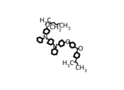 CCCCC(C)(C)Oc1ccc(N(c2ccccc2)c2ccc(N(c3ccccc3)c3ccc(Oc4ccc(C(=O)c5ccc(C(C)CC)cc5)cc4)cc3)cc2)cc1